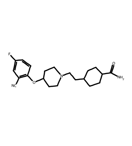 N#Cc1cc(F)ccc1OC1CCN(CCC2CCC(C(N)=O)CC2)CC1